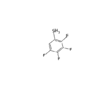 Fc1cc([SiH3])c(F)c(F)c1F